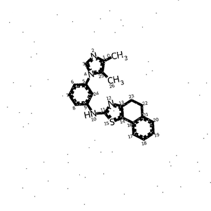 Cc1ncn(-c2cccc(Nc3nc4c(s3)-c3ccccc3CC4)c2)c1C